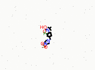 CC(C)(C)N(C(=O)O)c1ccc(CN2CCN(S(C)(=O)=O)CC2)cc1F